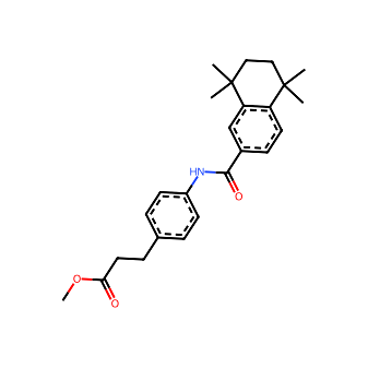 COC(=O)CCc1ccc(NC(=O)c2ccc3c(c2)C(C)(C)CCC3(C)C)cc1